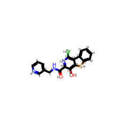 O=C(NCc1cccnc1)c1nc(Br)c2c(sc3ccccc32)c1O